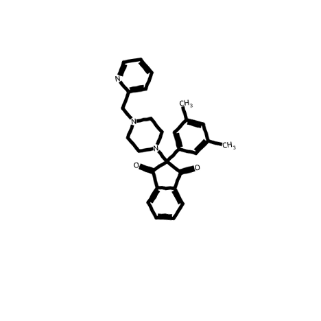 Cc1cc(C)cc(C2(N3CCN(Cc4ccccn4)CC3)C(=O)c3ccccc3C2=O)c1